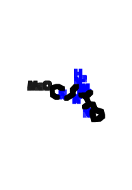 COC1CCN(Cc2cc(N)n3ncc(-c4cnc5ccccc5c4)c3n2)CC1